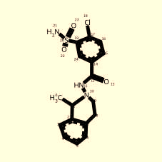 CC1c2ccccc2CCN1NC(=O)c1ccc(Cl)c(S(N)(=O)=O)c1